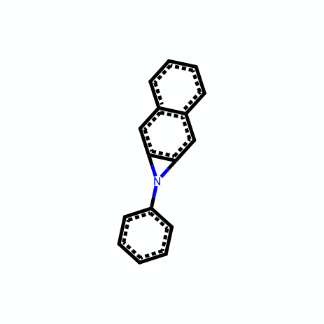 c1ccc(N2c3cc4ccccc4cc32)cc1